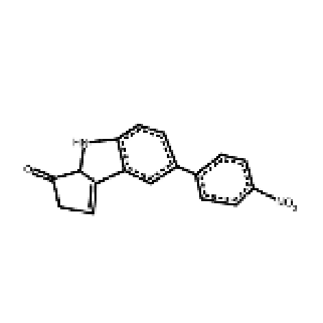 O=C1CC=C2c3cc(-c4ccc([N+](=O)[O-])cc4)ccc3NC12